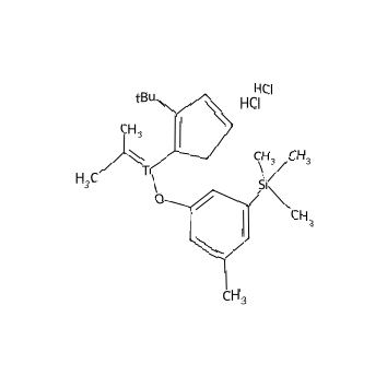 C[C](C)=[Ti]([O]c1cc(C)cc([Si](C)(C)C)c1)[C]1=C(C(C)(C)C)C=CC1.Cl.Cl